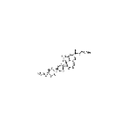 COCCNc1nc(N)c2c(n1)OCCN(c1ccc([C@H]3CC[C@H](CC(=O)O)CC3)cc1)C2=O